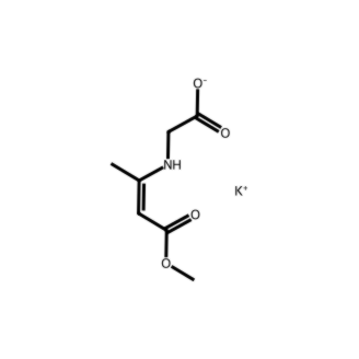 COC(=O)C=C(C)NCC(=O)[O-].[K+]